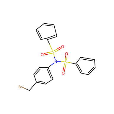 O=S(=O)(c1ccccc1)N(c1ccc(CBr)cc1)S(=O)(=O)c1ccccc1